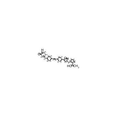 C[C@H](O)c1nccn1Cc1cc(-c2ccc(C#Cc3ccc(CN4CCNC(=O)C4)cc3)cc2)on1